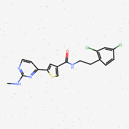 CNc1nccc(-c2cc(C(=O)NCCc3ccc(Cl)cc3Cl)cs2)n1